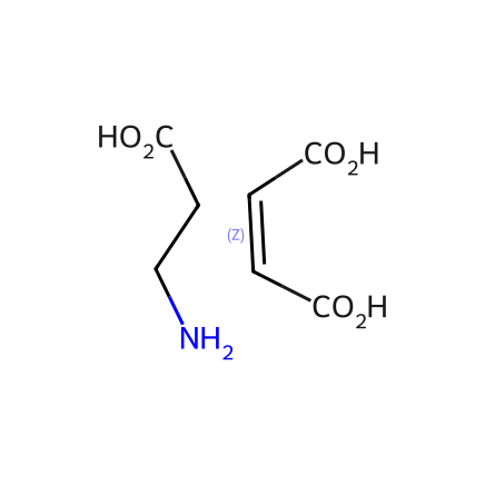 NCCC(=O)O.O=C(O)/C=C\C(=O)O